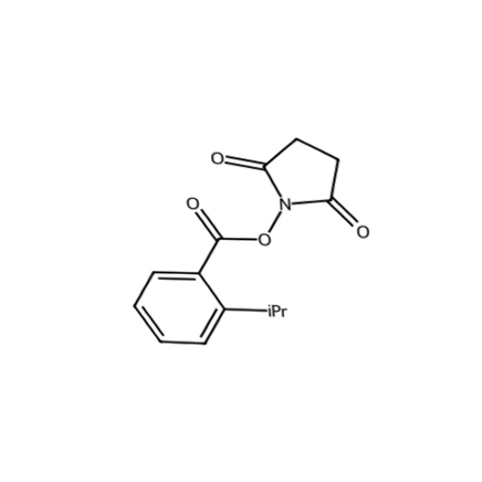 CC(C)c1ccccc1C(=O)ON1C(=O)CCC1=O